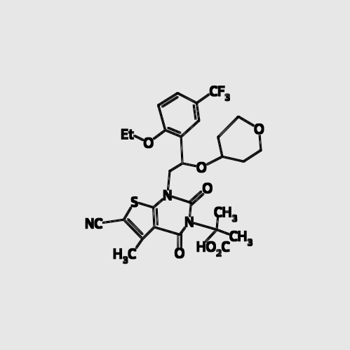 CCOc1ccc(C(F)(F)F)cc1C(Cn1c(=O)n(C(C)(C)C(=O)O)c(=O)c2c(C)c(C#N)sc21)OC1CCOCC1